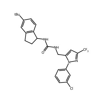 CC(C)(C)c1ccc2c(c1)CCC2NC(=O)NCc1cc(C(F)(F)F)nn1-c1cccc(Cl)c1